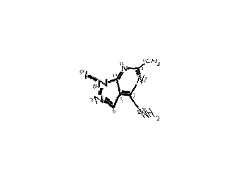 Cc1nc(N)c2cnn(I)c2n1